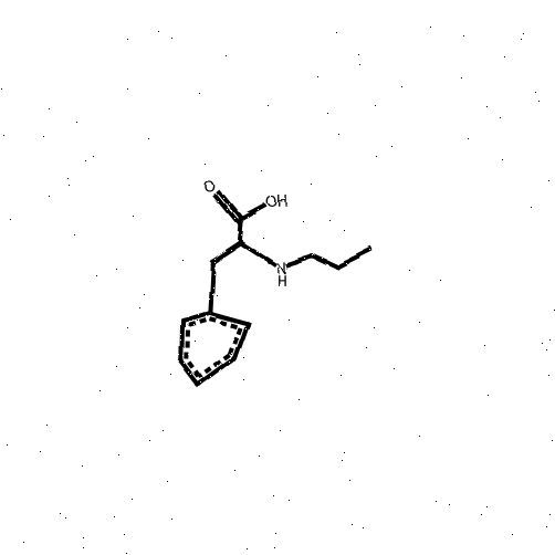 CCCNC(Cc1ccccc1)C(=O)O